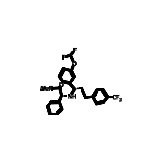 CNC(=O)[C@H](N[C@@H](CCc1ccc(C(F)(F)F)cc1)c1cccc(OC(F)F)c1)c1ccccc1